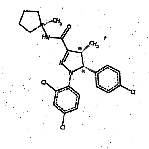 C[C@H]1C(C(=O)N[N+]2(C)CCCC2)=NN(c2ccc(Cl)cc2Cl)[C@H]1c1ccc(Cl)cc1.[I-]